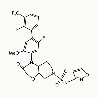 COc1cc(-c2cccc(C(F)(F)F)c2F)c(F)cc1N1C(=O)COC2CN(S(=O)(=O)Nc3ccon3)CCC21